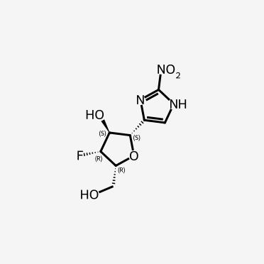 O=[N+]([O-])c1nc([C@@H]2O[C@H](CO)[C@H](F)[C@H]2O)c[nH]1